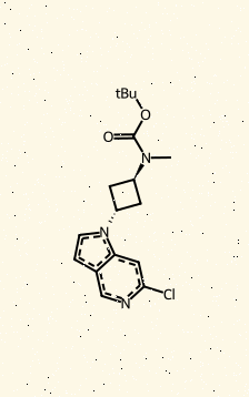 CN(C(=O)OC(C)(C)C)[C@H]1C[C@H](n2ccc3cnc(Cl)cc32)C1